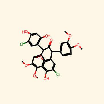 COc1ccc(C(C(=O)C(c2ccc(OC)c(OC)c2)c2cc(Cl)c(O)cc2O)c2cc(Cl)c(O)cc2O)cc1OC